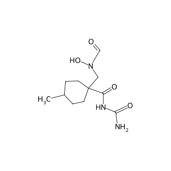 CC1CCC(CN(O)C=O)(C(=O)NC(N)=O)CC1